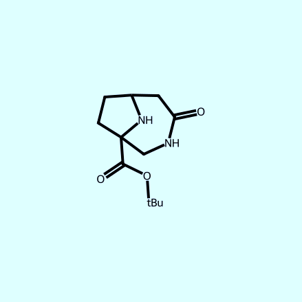 CC(C)(C)OC(=O)C12CCC(CC(=O)NC1)N2